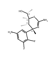 C[C@@H]1[C@@](C)([C@@H](C)O)SC(N)=N[C@]1(C)c1cc(N)cc(F)c1F